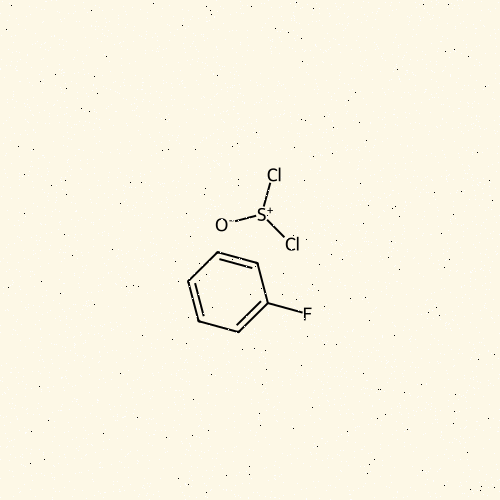 Fc1ccccc1.[O-][S+](Cl)Cl